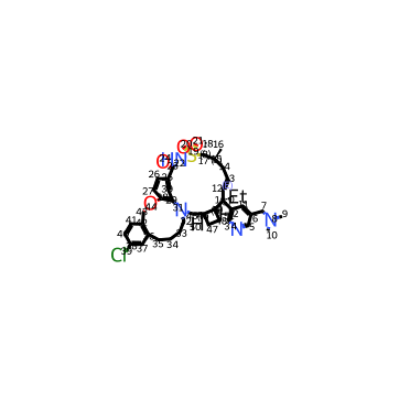 CC[C@@]1(c2cncc(CN(C)C)c2)/C=C/C[C@H](C)[C@@H](C)S(=O)(=O)NC(=O)c2ccc3c(c2)N(CCCCc2cc(Cl)ccc2CO3)C[C@@H]2CC[C@H]21